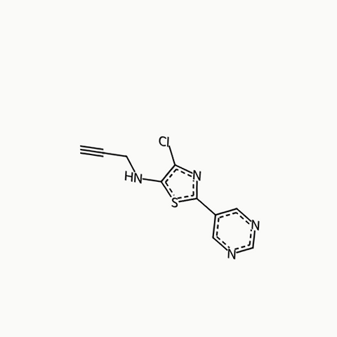 C#CCNc1sc(-c2cncnc2)nc1Cl